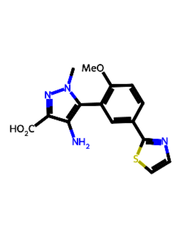 COc1ccc(-c2nccs2)cc1-c1c(N)c(C(=O)O)nn1C